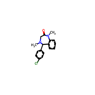 CN1C(=O)CN(C)C(c2ccc(Cl)cc2)c2ccccc21